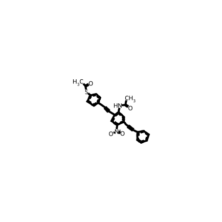 CC(=O)Nc1cc(C#Cc2ccccc2)c([N+](=O)[O-])cc1C#Cc1ccc(SC(C)=O)cc1